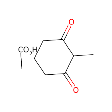 CC(=O)O.CC1C(=O)CCCC1=O